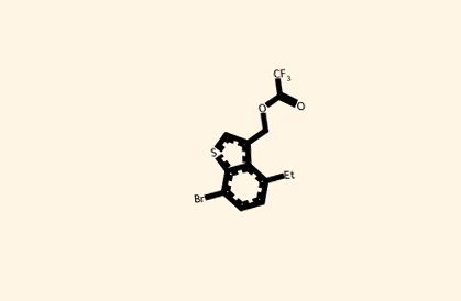 CCc1ccc(Br)c2scc(COC(=O)C(F)(F)F)c12